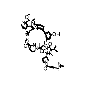 CCN1C(c2cccnc2COC)=C2CC(C)(C)COC(=O)[C@@H]3CCCN(N3)C(=O)[C@@H](NC(=O)C(C(C)C)N(C)C(=O)[C@H]3CCN(C(=O)C#C[C@@H](C)N(C)C)C3)Cc3cc(O)cc(c3)C3=CN2C1C=C3